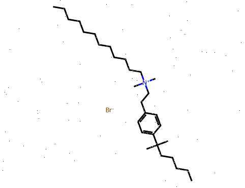 CCCCCCCCCCCC[N+](C)(C)CCc1ccc(C(C)(C)CCCCC)cc1.[Br-]